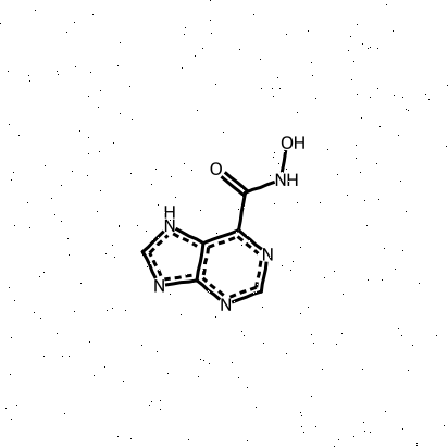 O=C(NO)c1ncnc2nc[nH]c12